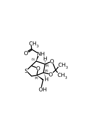 CC(=O)N[C@@H]1C2O[C@@](CO)(CS2)[C@@H]2OC(C)(C)O[C@H]12